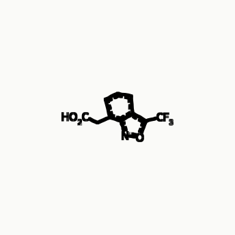 O=C(O)Cc1cccc2c(C(F)(F)F)onc12